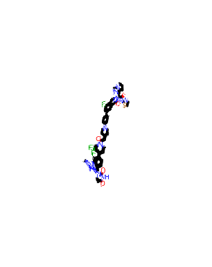 Cn1nc(N2CCC(=O)NC2=O)c2ccc(C3CCN(C(=O)CC4CCN(c5ccc(-c6cc(F)c7c(c6)C(=O)N(C(C(=O)Nc6nccs6)c6ncn8c6CCC8)C7)cc5)CC4)CC3(F)F)cc21